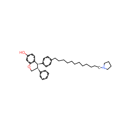 Oc1ccc2c(c1)OC[C@H](c1ccccc1)[C@@H]2c1ccc(CCCCCCCCCCCCN2CCCC2)cc1